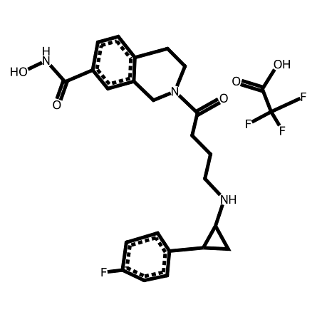 O=C(NO)c1ccc2c(c1)CN(C(=O)CCCNC1CC1c1ccc(F)cc1)CC2.O=C(O)C(F)(F)F